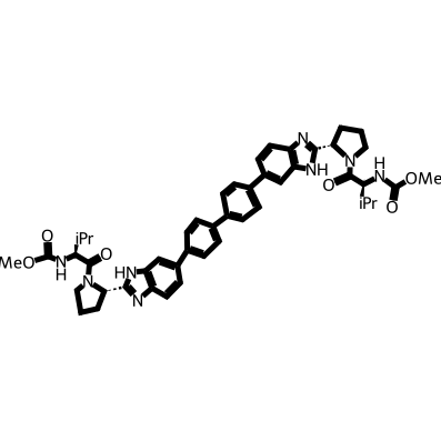 COC(=O)N[C@H](C(=O)N1CCC[C@H]1c1nc2ccc(-c3ccc(-c4ccc(-c5ccc6nc([C@@H]7CCCN7C(=O)[C@@H](NC(=O)OC)C(C)C)[nH]c6c5)cc4)cc3)cc2[nH]1)C(C)C